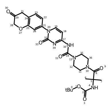 CC(C)(C)OC(=O)NC(C)(C)C(=O)N1CCN(C(=O)Nc2ccn(-c3ccc4c(c3)OCC(=O)C4)c(=O)n2)CC1